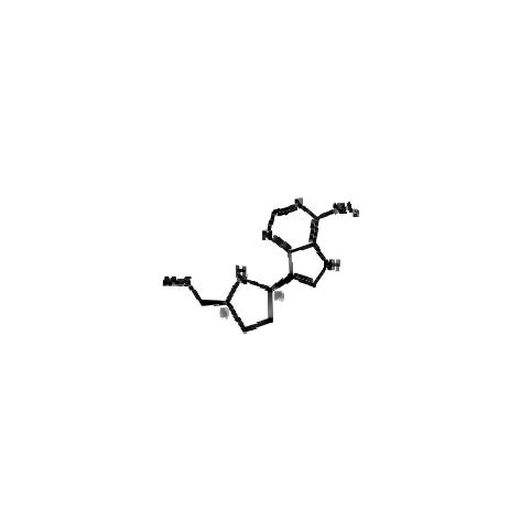 CSC[C@@H]1CC[C@H](c2c[nH]c3c(N)ncnc23)N1